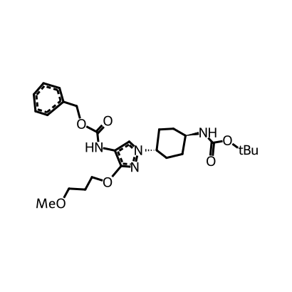 COCCCOc1nn([C@H]2CC[C@H](NC(=O)OC(C)(C)C)CC2)cc1NC(=O)OCc1ccccc1